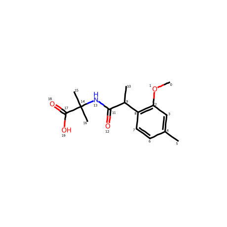 COc1cc(C)ccc1C(C)C(=O)NC(C)(C)C(=O)O